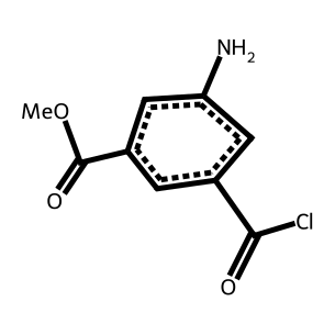 COC(=O)c1cc(N)cc(C(=O)Cl)c1